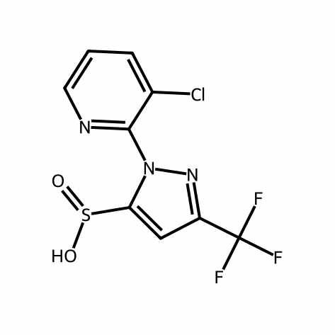 O=S(O)c1cc(C(F)(F)F)nn1-c1ncccc1Cl